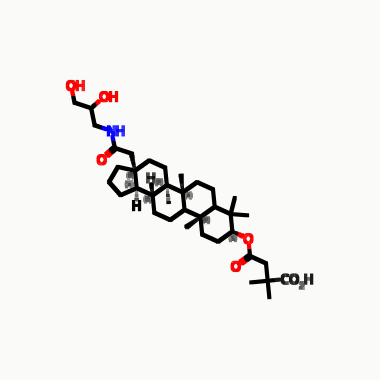 CC(C)(CC(=O)O[C@H]1CC[C@@]2(C)C(CC[C@]3(C)C2CC[C@@H]2[C@H]4CCC[C@]4(CC(=O)NCC(O)CO)CC[C@]23C)C1(C)C)C(=O)O